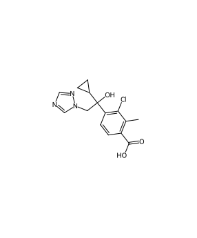 Cc1c(C(=O)O)ccc(C(O)(Cn2cncn2)C2CC2)c1Cl